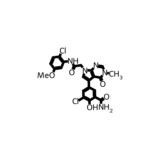 COc1ccc(Cl)c(NC(=O)Cn2cc(-c3cc(Cl)c(O)c(C(N)=O)c3)c3c(=O)n(C)cnc32)c1